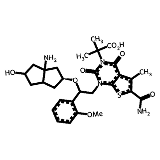 COc1ccccc1C(Cn1c(=O)n(C(C)(C)C(=O)O)c(=O)c2c(C)c(C(N)=O)sc21)O[C@H]1CC2CC(O)CC2(N)C1